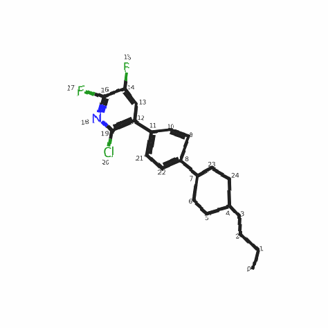 CCCCC1CCC(c2ccc(-c3cc(F)c(F)nc3Cl)cc2)CC1